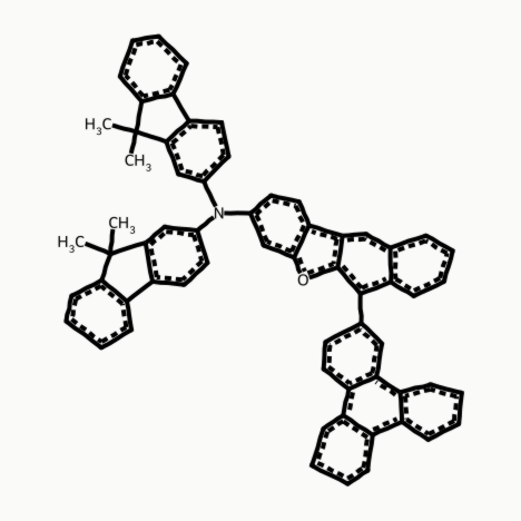 CC1(C)c2ccccc2-c2ccc(N(c3ccc4c(c3)C(C)(C)c3ccccc3-4)c3ccc4c(c3)oc3c(-c5ccc6c7ccccc7c7ccccc7c6c5)c5ccccc5cc34)cc21